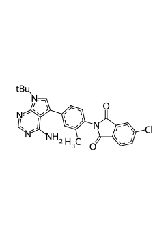 Cc1cc(-c2cn(C(C)(C)C)c3ncnc(N)c23)ccc1N1C(=O)c2ccc(Cl)cc2C1=O